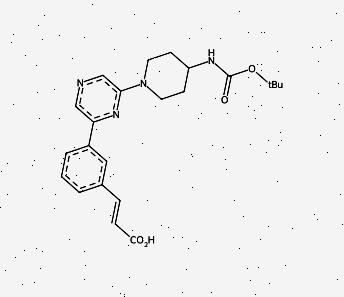 CC(C)(C)OC(=O)NC1CCN(c2cncc(-c3cccc(/C=C/C(=O)O)c3)n2)CC1